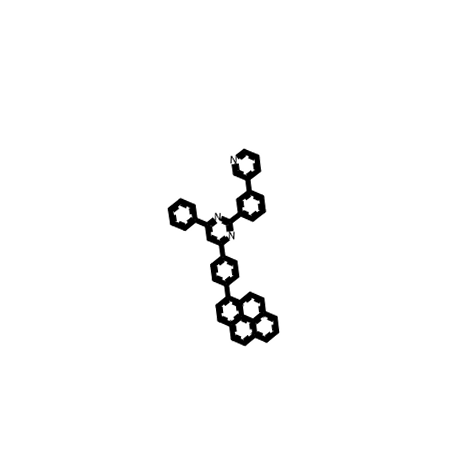 c1ccc(-c2cc(-c3ccc(-c4ccc5ccc6cccc7ccc4c5c67)cc3)nc(-c3cccc(-c4cccnc4)c3)n2)cc1